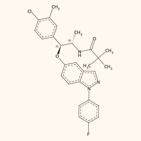 Cc1cc([C@H](Oc2ccc3c(cnn3-c3ccc(F)cc3)c2)[C@H](C)NC(=O)C(C)(C)C)ccc1Cl